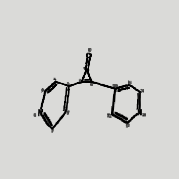 O=c1c(-c2ccncc2)c1-c1ccncc1